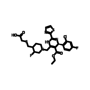 CCOC(=O)C1=C(CN2CCC(CSCC(=O)O)C(F)C2)NC(c2nccs2)=N[C@H]1c1ccc(F)cc1Cl